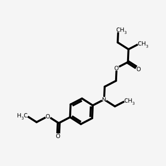 CCOC(=O)c1ccc(N(CC)CCOC(=O)C(C)CC)cc1